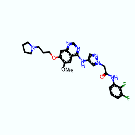 COc1cc2c(Nc3cnn(CC(=O)Nc4cccc(F)c4F)c3)ncnc2cc1OCCCN1CCCC1